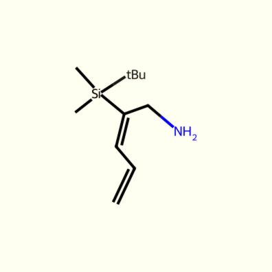 C=CC=C(CN)[Si](C)(C)C(C)(C)C